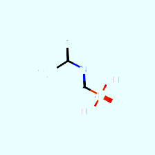 CC(=O)C(NCP(=O)(O)O)C(=O)O